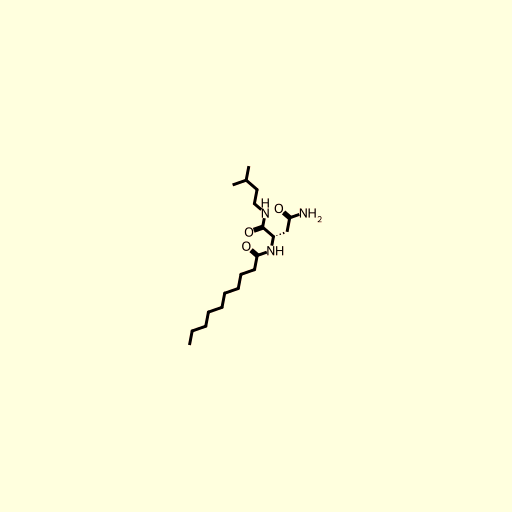 CCCCCCCCCC(=O)N[C@@H](CC(N)=O)C(=O)NCCC(C)C